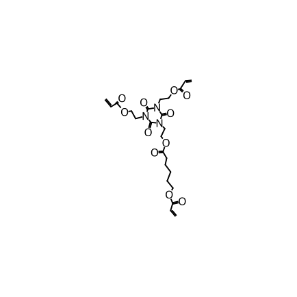 C=CC(=O)OCCCCCC(=O)OCCn1c(=O)n(CCOC(=O)C=C)c(=O)n(CCOC(=O)C=C)c1=O